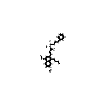 CCCCc1c(/C=C/C(=O)N[C@H](C)CCCc2cccnc2)cc(OC)c2ccc(OC)cc12